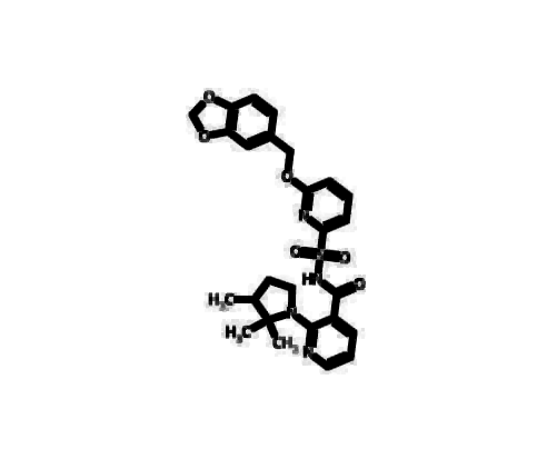 CC1CCN(c2ncccc2C(=O)NS(=O)(=O)c2cccc(OCc3ccc4c(c3)OCO4)n2)C1(C)C